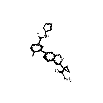 Cc1ccc(C(=O)NC2CCCC2)cc1-c1ccc2cc(C3(C(N)=O)CC3)ncc2c1